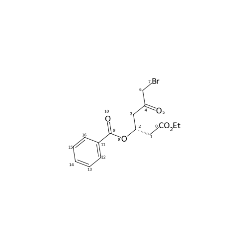 CCOC(=O)C[C@@H](CC(=O)CBr)OC(=O)c1ccccc1